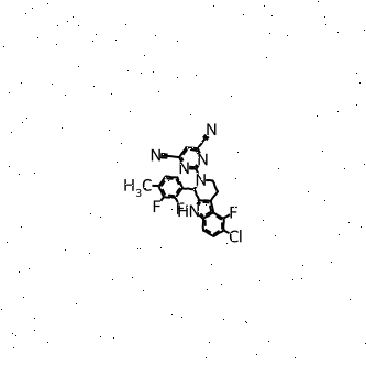 Cc1ccc(C2c3[nH]c4ccc(Cl)c(F)c4c3CCN2c2nc(C#N)cc(C#N)n2)c(F)c1F